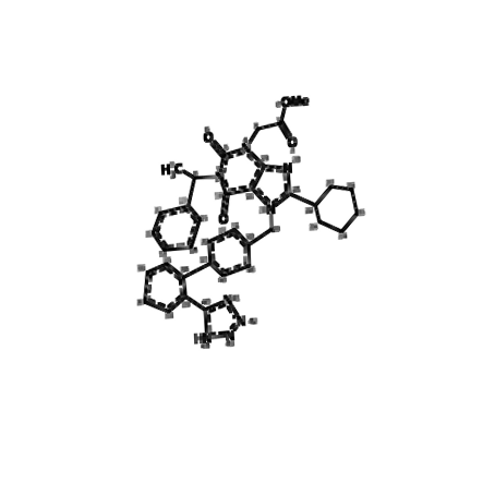 COC(=O)Cn1c(=O)n(C(C)c2ccccc2)c(=O)c2c1nc(C1CCCCC1)n2Cc1ccc(-c2ccccc2-c2nnn[nH]2)cc1